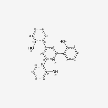 Oc1ccccc1-c1cc(-c2ccccc2O)nc(-c2ccccc2O)n1